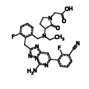 CCN(Cc1cccc(F)c1Cc1nc2cc(-c3cccc(C#N)c3F)nc(N)n2n1)C1CCN(CC(=O)O)C1=O